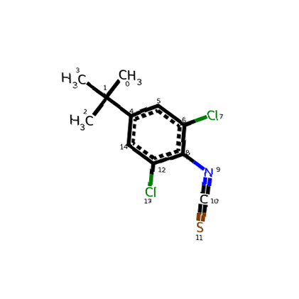 CC(C)(C)c1cc(Cl)c(N=C=S)c(Cl)c1